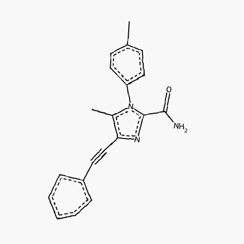 Cc1ccc(-n2c(C(N)=O)nc(C#Cc3ccccc3)c2C)cc1